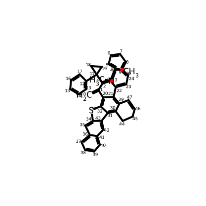 C=C(/C(=N/c1ccccc1C)C1(c2ccccc2)CC1)c1c(-c2ccccc2C)c2c(c3c1sc1cc4ccccc4cc13)CCC=C2